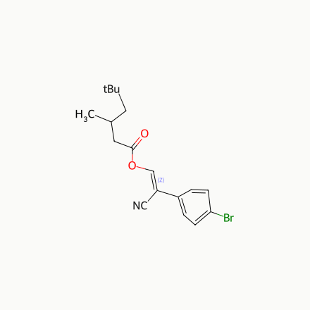 CC(CC(=O)O/C=C(\C#N)c1ccc(Br)cc1)CC(C)(C)C